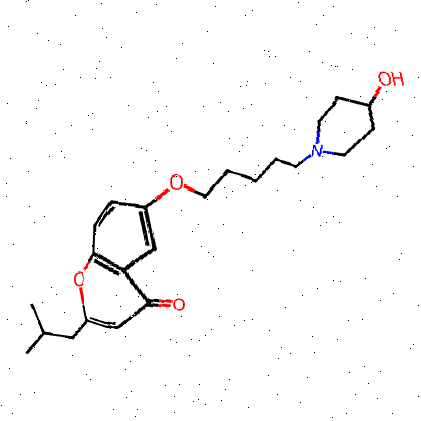 CC(C)Cc1cc(=O)c2cc(OCCCCCN3CCC(O)CC3)ccc2o1